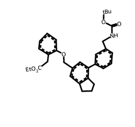 CCOC(=O)Cc1ccccc1OCc1cc2c(c(-c3cccc(CNC(=O)OC(C)(C)C)c3)c1)CCC2